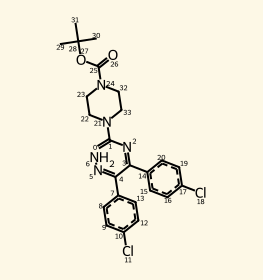 C=C(/N=C(\C(=N/N)c1ccc(Cl)cc1)c1ccc(Cl)cc1)N1CCN(C(=O)OC(C)(C)C)CC1